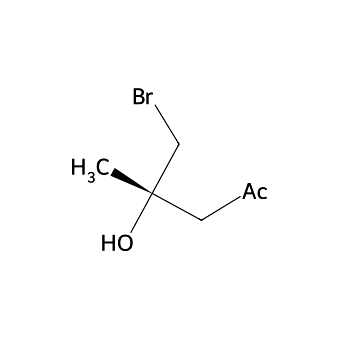 CC(=O)C[C@](C)(O)CBr